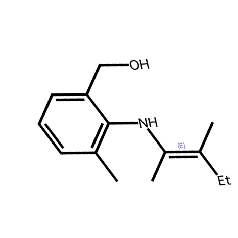 CC/C(C)=C(\C)Nc1c(C)cccc1CO